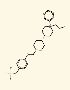 CCC[Si]1(c2ccccc2)CCC([C@H]2CC[C@H](COc3ccc(OC(F)(F)F)cc3)CC2)CC1